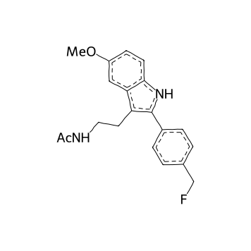 COc1ccc2[nH]c(-c3ccc(CF)cc3)c(CCNC(C)=O)c2c1